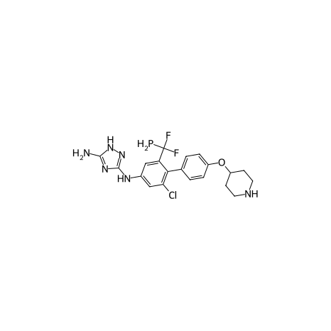 Nc1nc(Nc2cc(Cl)c(-c3ccc(OC4CCNCC4)cc3)c(C(F)(F)P)c2)n[nH]1